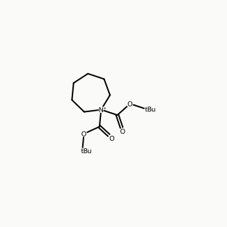 CC(C)(C)OC(=O)[N+]1(C(=O)OC(C)(C)C)CCCCCC1